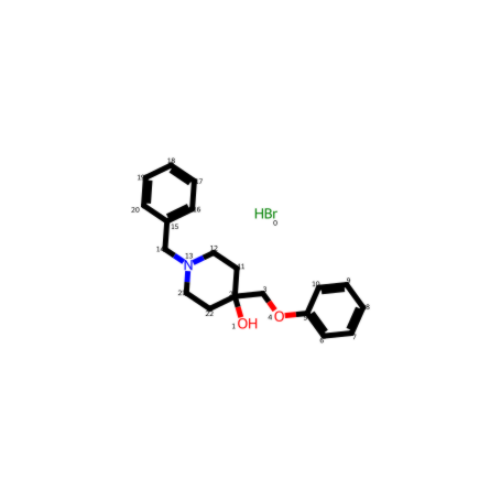 Br.OC1(COc2ccccc2)CCN(Cc2ccccc2)CC1